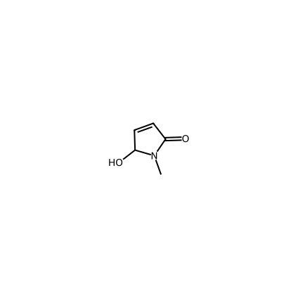 CN1C(=O)C=CC1O